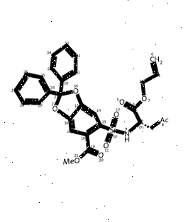 C=CCOC(=O)[C@H](CC(C)=O)NS(=O)(=O)c1cc2c(cc1C(=O)OC)OC(c1ccccc1)(c1ccccc1)O2